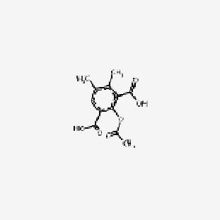 CC(=O)Oc1c(C(=O)O)cc(C)c(C)c1C(=O)O